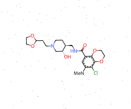 CNc1cc(C(=O)NC[C@@H]2CCN(CCC3OCCO3)C[C@H]2O)c2c(c1Cl)OCCO2